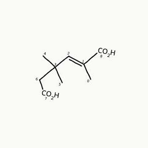 CC(=CC(C)(C)CC(=O)O)C(=O)O